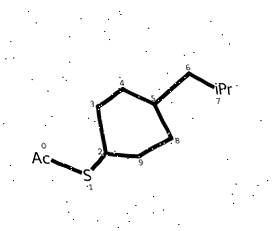 CC(=O)SC1CCC(CC(C)C)CC1